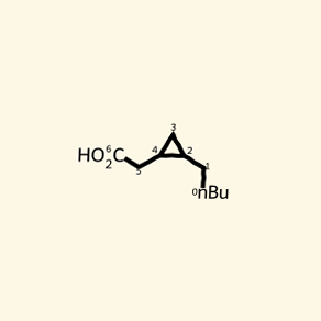 CCCCCC1CC1CC(=O)O